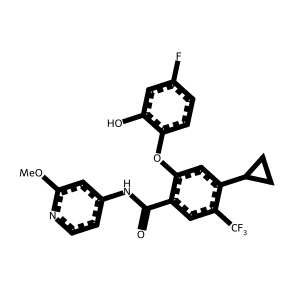 COc1cc(NC(=O)c2cc(C(F)(F)F)c(C3CC3)cc2Oc2ccc(F)cc2O)ccn1